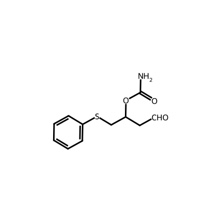 NC(=O)OC(CC=O)CSc1ccccc1